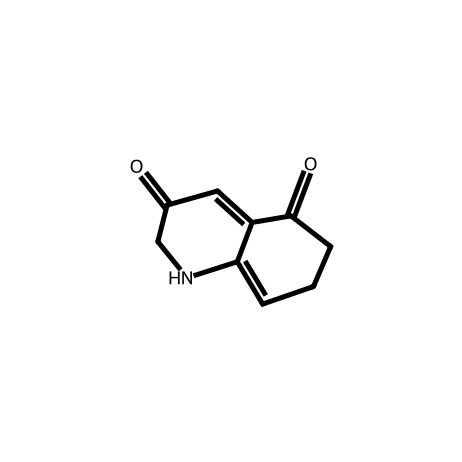 O=C1C=C2C(=O)CCC=C2NC1